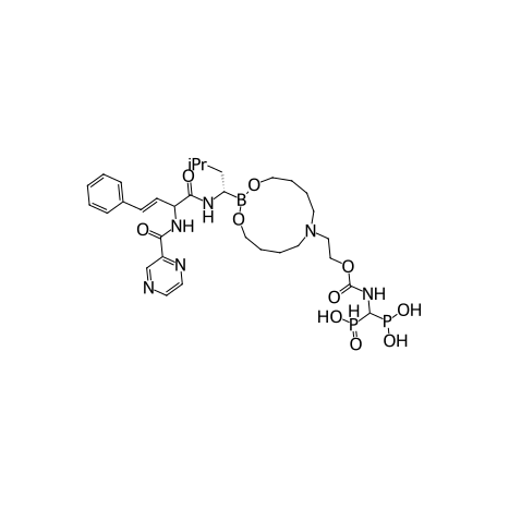 CC(C)C[C@@H](NC(=O)C(/C=C/c1ccccc1)NC(=O)c1cnccn1)B1OCCCCN(CCOC(=O)NC(P(O)O)[PH](=O)O)CCCCO1